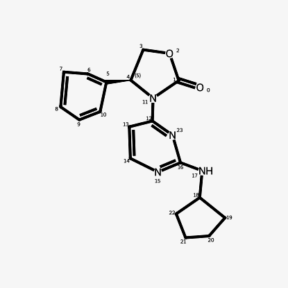 O=C1OC[C@H](c2ccccc2)N1c1ccnc(NC2CCCC2)n1